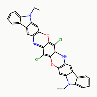 CCn1c2ccccc2c2cc3c(cc21)OC1=C(Cl)C2Nc4cc5c6ccccc6n(CC)c5cc4OC2=C(Cl)C1=N3